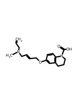 C=CCN(C)C/C=C/COc1ccc2c(c1)CCCN2C(=O)O